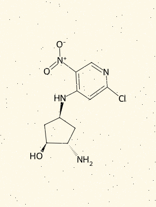 N[C@H]1C[C@H](Nc2cc(Cl)ncc2[N+](=O)[O-])C[C@@H]1O